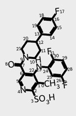 Cc1c(S(=O)(=O)O)ncc(C(=O)N2CCC(c3ccc(F)cc3)CC2)c1Nc1cc(F)ccc1F